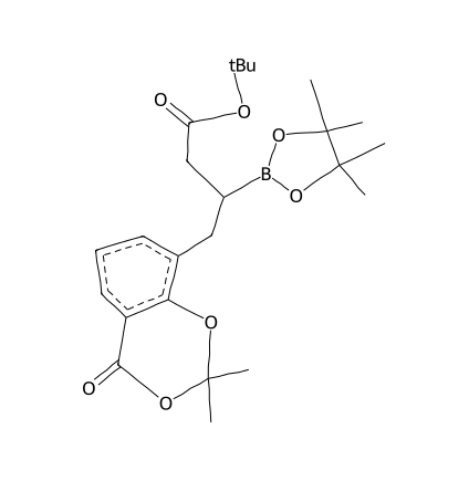 CC(C)(C)OC(=O)CC(Cc1cccc2c1OC(C)(C)OC2=O)B1OC(C)(C)C(C)(C)O1